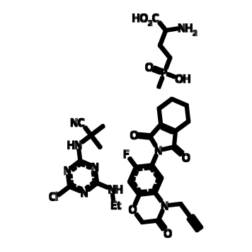 C#CCN1C(=O)COc2cc(F)c(N3C(=O)C4=C(CCCC4)C3=O)cc21.CCNc1nc(Cl)nc(NC(C)(C)C#N)n1.CP(=O)(O)CCC(N)C(=O)O